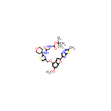 COc1cc(OCc2csc(C3(NC(=O)CNC(=O)OC(C)(C)C)CCOCC3)n2)c2cc(-c3cn4nc(C)sc4n3)oc2c1